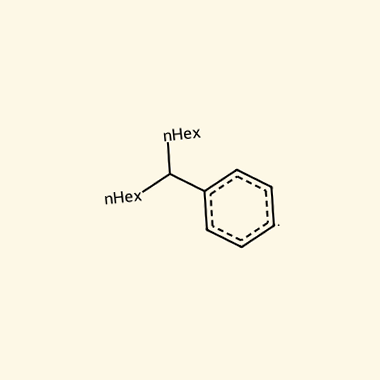 CCCCCCC(CCCCCC)c1cc[c]cc1